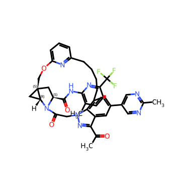 CC(=O)c1nn2c3c(cc(-c4cnc(C)nc4)cc13)CCCCc1cccc(n1)OC[C@@]13C[C@@H](C(=O)Nc4nc(C(F)(F)F)ccc4C)N(C(=O)C2)[C@@H]1C3